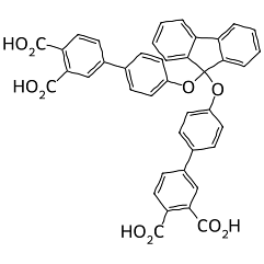 O=C(O)c1ccc(-c2ccc(OC3(Oc4ccc(-c5ccc(C(=O)O)c(C(=O)O)c5)cc4)c4ccccc4-c4ccccc43)cc2)cc1C(=O)O